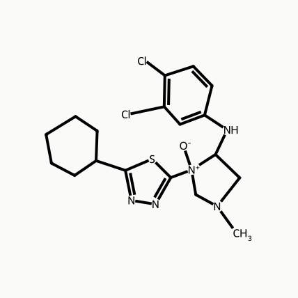 CN1CC(Nc2ccc(Cl)c(Cl)c2)[N+]([O-])(c2nnc(C3CCCCC3)s2)C1